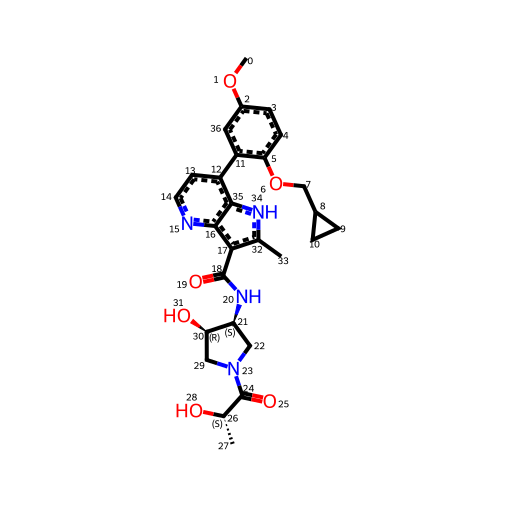 COc1ccc(OCC2CC2)c(-c2ccnc3c(C(=O)N[C@H]4CN(C(=O)[C@H](C)O)C[C@H]4O)c(C)[nH]c23)c1